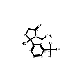 CCN1C(=O)CCC1(O)c1cccc(C(F)(F)F)c1